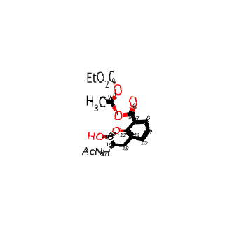 CCOC(=O)OC(C)OC(=O)c1cccc2c1OB(O)C(NC(C)=O)C2